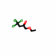 CCOCC(=O)CC(Cl)(Cl)Cl